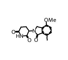 COc1ccc(C)c2c1CN(C1CCC(=O)NC1=O)C2=O